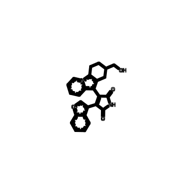 O=C1NC(=O)C(c2c3c(n4ccccc24)CCC(CO)C3)=C1c1coc2ccccc12